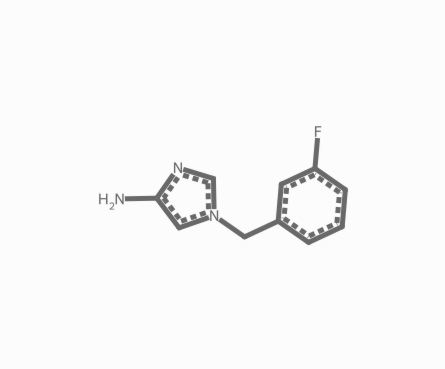 Nc1cn(Cc2cccc(F)c2)cn1